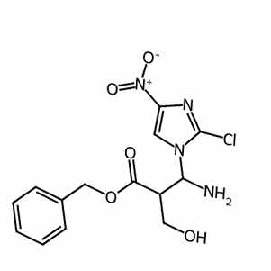 NC(C(CO)C(=O)OCc1ccccc1)n1cc([N+](=O)[O-])nc1Cl